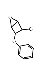 ClC1C(Oc2ccccc2)C2OC12